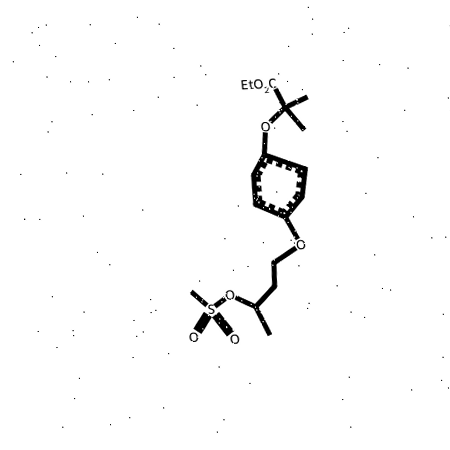 CCOC(=O)C(C)(C)Oc1ccc(OCCC(C)OS(C)(=O)=O)cc1